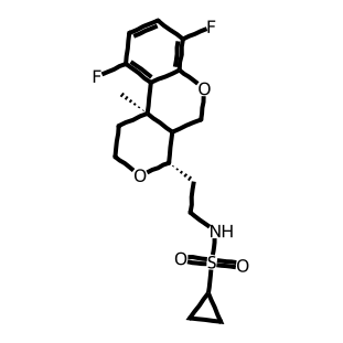 C[C@@]12CCO[C@@H](CCNS(=O)(=O)C3CC3)C1COc1c(F)ccc(F)c12